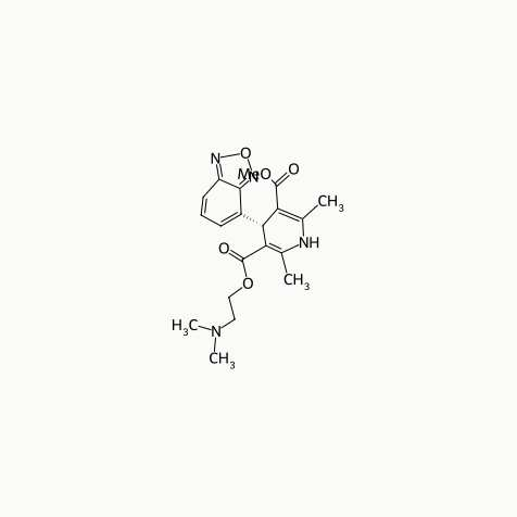 COC(=O)C1=C(C)NC(C)=C(C(=O)OCCN(C)C)[C@@H]1c1cccc2nonc12